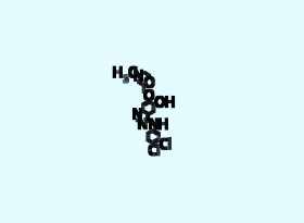 CN1CCOC(COc2cc3ncnc(Nc4ccc(Cl)c(Cl)c4)c3cc2O)C1